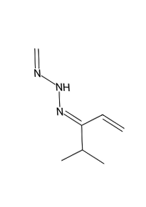 C=C/C(=N\NN=C)C(C)C